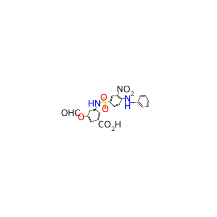 O=COc1cc(NS(=O)(=O)c2ccc(NCc3ccccc3)c([N+](=O)[O-])c2)cc(C(=O)O)c1